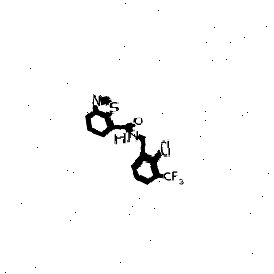 O=C(NCc1cccc(C(F)(F)F)c1Cl)C1CCCc2ncsc21